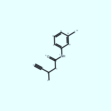 C#CC(C)CC(=O)Nc1cccc(I)c1